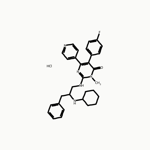 Cl.Cn1c(NCC(Cc2ccccc2)NC2CCCCC2)nc(-c2ccncc2)c(-c2ccc(F)cc2)c1=O